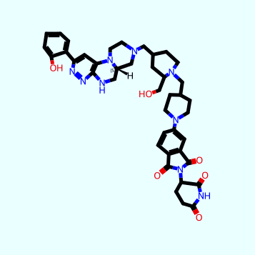 O=C1CCC(N2C(=O)c3ccc(N4CCC(CN5CCC(CN6CCN7c8cc(-c9ccccc9O)nnc8NC[C@H]7C6)CC5CO)CC4)cc3C2=O)C(=O)N1